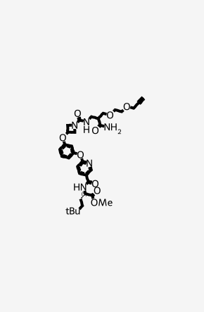 C#CCOCCOCC(CNC(=O)N1CC(Oc2cccc(Oc3ccc(C(=O)N[C@@H](CCC(C)(C)C)C(=O)OC)cn3)c2)C1)C(N)=O